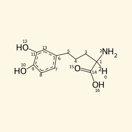 [2H]C(N)(CCCc1ccc(O)c(O)c1)C(=O)O